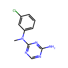 CN(c1cccc(Cl)c1)c1ncnc(N)n1